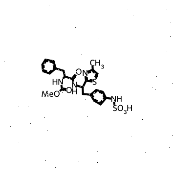 COC(=O)NC(Cc1ccccc1)C(=O)NC(Cc1ccc(NS(=O)(=O)O)cc1)c1nc(C)cs1